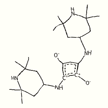 CC1(C)CC(Nc2c([O-])[c+](NC3CC(C)(C)NC(C)(C)C3)[c+]2[O-])CC(C)(C)N1